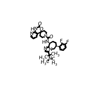 CN(C)C(C)(C)c1cnc2n1C[C@H](c1cccc(F)c1F)CC[C@H]2NC(=O)N1CCC2(CC1)OC(=O)Nc1ncccc12